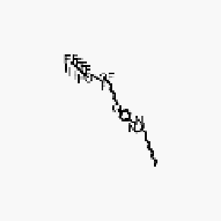 CCCCCCCCc1cnc(-c2ccc(OCCCCCC(F)(F)OCCOC(F)(F)C(F)(F)C(F)(F)C(F)(F)F)cc2)nc1